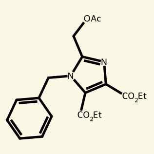 CCOC(=O)c1nc(COC(C)=O)n(Cc2ccccc2)c1C(=O)OCC